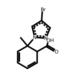 CC1(n2cc(Br)cn2)C=CC=CC1C(=O)O